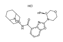 CCC[C@H]1COCCN1c1nc2c(C(=O)NC3CC4CCCC(C3)N4C)cccc2o1.Cl